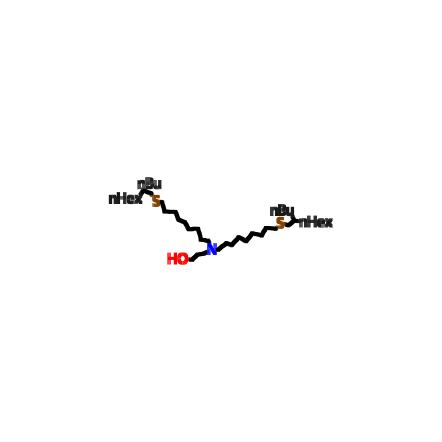 CCCCCCC(CCCC)CSCCCCCCCCCN(CCCO)CCCCCCCCCSCC(CCCC)CCCCCC